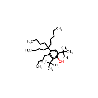 CCCC[C]C(CCCC)(CCCC)c1cc(C(C)(C)C)c(O)c(C(C)(C)C)c1CCCC